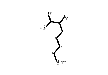 CCCCCCCCCCCC(CC)C(N)[C](C)C